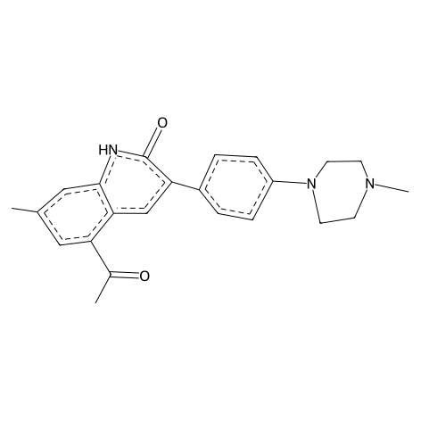 CC(=O)c1cc(C)cc2[nH]c(=O)c(-c3ccc(N4CCN(C)CC4)cc3)cc12